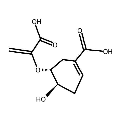 C=C(O[C@@H]1CC(C(=O)O)=CC[C@H]1O)C(=O)O